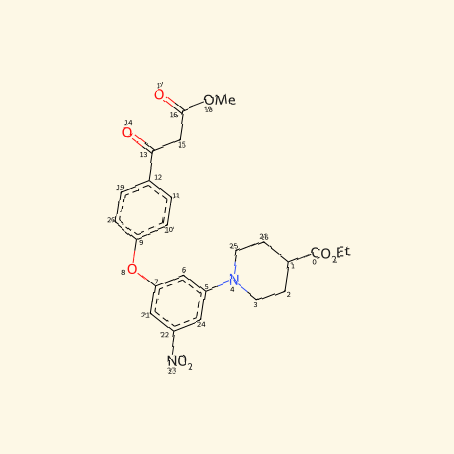 CCOC(=O)C1CCN(c2cc(Oc3ccc(C(=O)CC(=O)OC)cc3)cc([N+](=O)[O-])c2)CC1